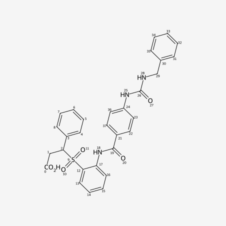 O=C(O)CC(c1ccccc1)S(=O)(=O)c1ccccc1NC(=O)c1ccc(NC(=O)NCc2ccccc2)cc1